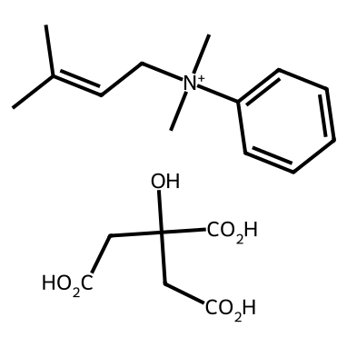 CC(C)=CC[N+](C)(C)c1ccccc1.O=C(O)CC(O)(CC(=O)O)C(=O)O